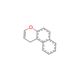 C1=COc2ccc3ccccc3c2C1